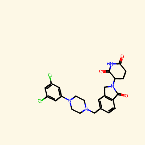 O=C1CCC(N2Cc3cc(CN4CCN(c5cc(Cl)cc(Cl)c5)CC4)ccc3C2=O)C(=O)N1